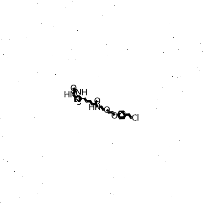 O=C(CCCC[C@H]1SCC2NC(=O)NC21)NCCOCCOc1ccc(CCCl)cc1